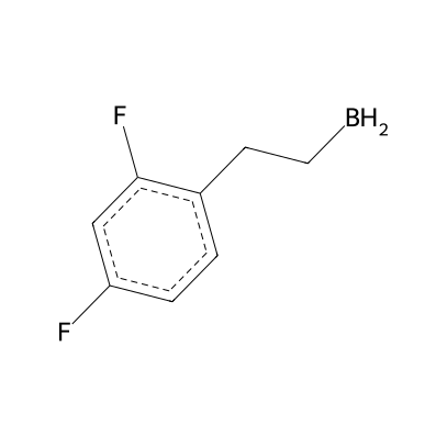 BCCc1ccc(F)cc1F